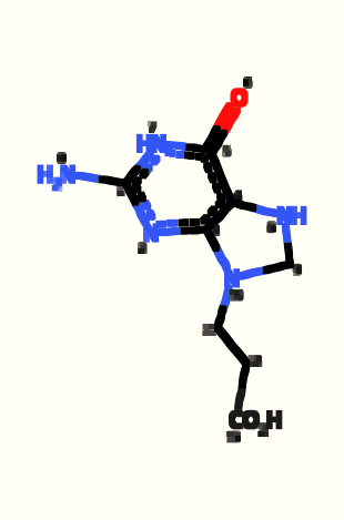 Nc1nc2c(c(=O)[nH]1)NCN2CCC(=O)O